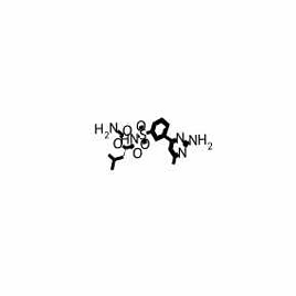 Cc1cc(-c2cccc(S(=O)(=O)NC(=O)[C@H](CC(C)C)OC(N)=O)c2)nc(N)n1